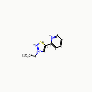 CCOC(=O)C[n+]1cc(-c2ccccn2)sn1